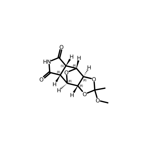 COC1(C)O[C@H]2[C@H](O1)[C@@H]1O[C@@H]2[C@H]2C(=O)NC(=O)[C@@H]12